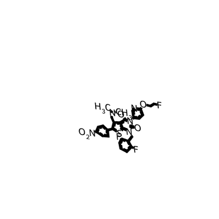 CN(C)Cc1c(-c2ccc([N+](=O)[O-])cc2)sc2c1c(=O)n(-c1ccc(OCCF)nc1)c(=O)n2Cc1c(F)cccc1F